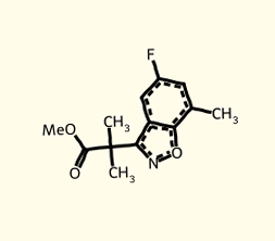 COC(=O)C(C)(C)c1noc2c(C)cc(F)cc12